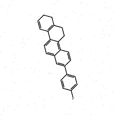 Fc1ccc(-c2ccc3c4c(ccc3c2)C2=C(CCC=C2)CC4)cc1